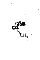 CCCCCn1nc(C(=O)NC2(c3ccccc3)CC2)c2ccccc21